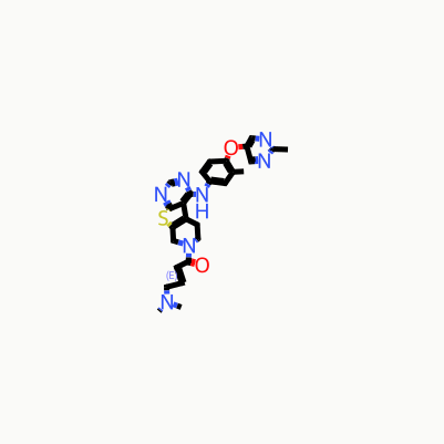 Cc1ncc(Oc2ccc(Nc3ncnc4sc5c(c34)CCN(C(=O)/C=C/CN(C)C)C5)cc2C)cn1